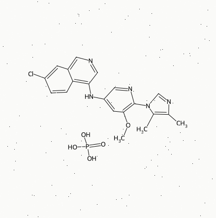 COc1cc(Nc2cncc3cc(Cl)ccc23)cnc1-n1cnc(C)c1C.O=P(O)(O)O